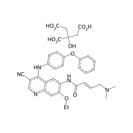 CCOc1cc2ncc(C#N)c(Nc3ccc(Oc4ccccc4)cc3)c2cc1NC(=O)/C=C/CN(C)C.O=C(O)CC(O)(CC(=O)O)C(=O)O